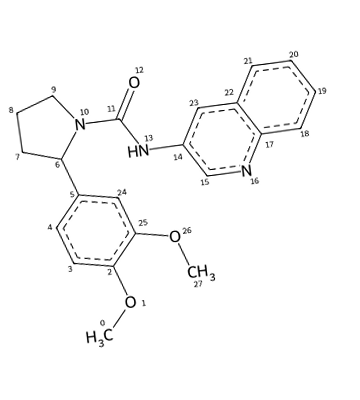 COc1ccc(C2CCCN2C(=O)Nc2cnc3ccccc3c2)cc1OC